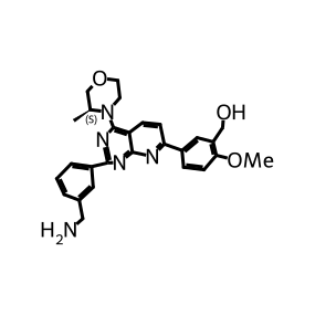 COc1ccc(-c2ccc3c(N4CCOC[C@@H]4C)nc(-c4cccc(CN)c4)nc3n2)cc1CO